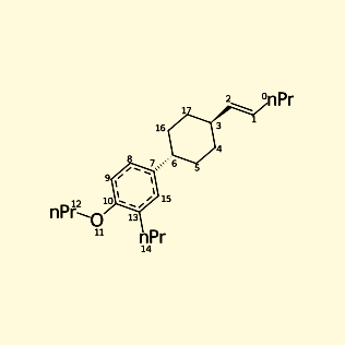 CCCC=C[C@H]1CC[C@H](c2ccc(OCCC)c(CCC)c2)CC1